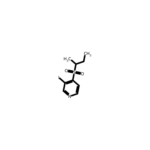 CCC(C)S(=O)(=O)c1ccncc1I